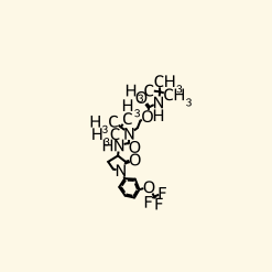 CC(C)(C)NC(=O)OCCN(C(=O)NC1CCN(c2cccc(OC(F)(F)F)c2)C1=O)C(C)(C)C